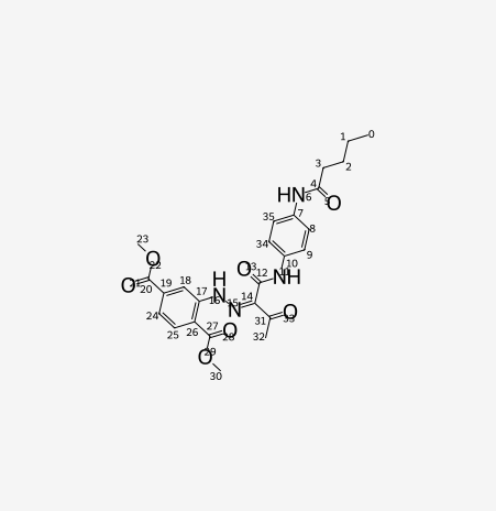 CCCCC(=O)Nc1ccc(NC(=O)/C(=N\Nc2cc(C(=O)OC)ccc2C(=O)OC)C(C)=O)cc1